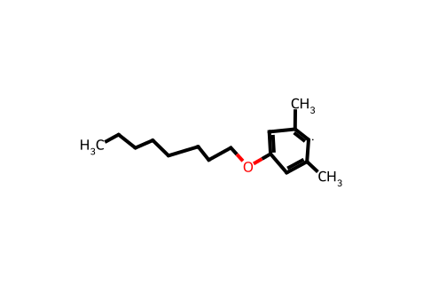 CCCCCCCCOc1cc(C)[c]c(C)c1